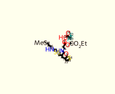 CCOC(=O)COC(=O)CCNC(=O)C(CSSCNCCCSC)Cc1ccsc1.O=C(O)C(F)(F)F